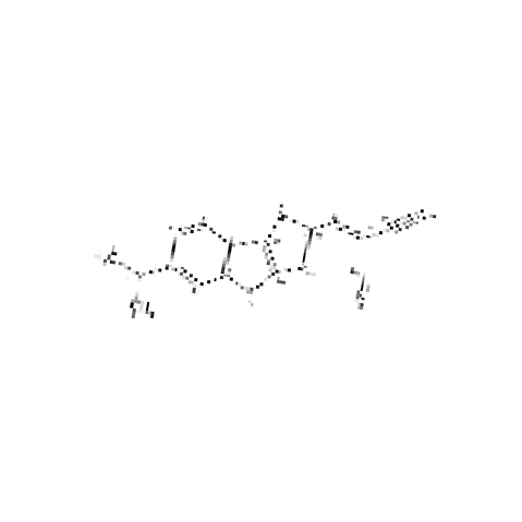 CN(C)c1ccc2c(c1)sc1cc(C=C(C#N)C#N)sc12